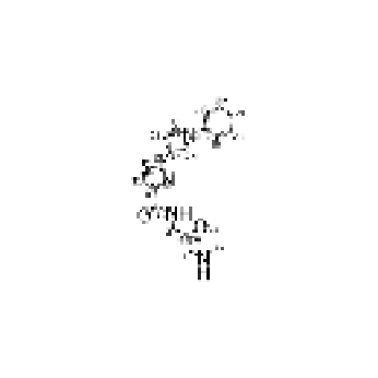 O=C(NC[C@@H]1CNCCO1)c1csc(-c2cnn(-c3ccccc3)c2)n1